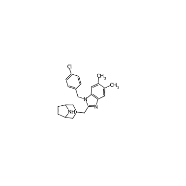 Cc1cc2nc(CC3CC4CCC(C3)N4)n(Cc3ccc(Cl)cc3)c2cc1C